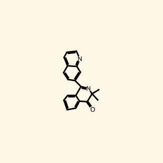 CC1(C)N=C(c2ccc3cccnc3c2)c2ccccc2C1=O